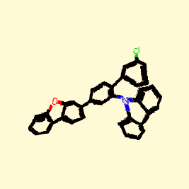 Clc1cccc(-c2ccc(-c3ccc4c(c3)oc3ccccc34)cc2-n2c3ccccc3c3ccccc32)c1